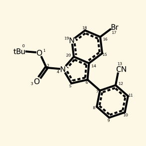 CC(C)(C)OC(=O)n1cc(-c2ccccc2C#N)c2cc(Br)cnc21